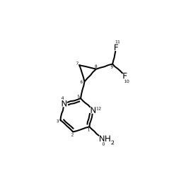 Nc1ccnc(C2CC2C(F)F)n1